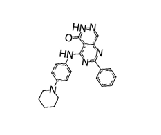 O=c1[nH]ncc2nc(-c3ccccc3)nc(Nc3ccc(N4CCCCC4)cc3)c12